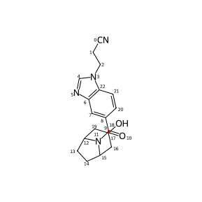 N#CCCn1cnc2cc(C(=O)N3C4CCC3CC(O)C4)ccc21